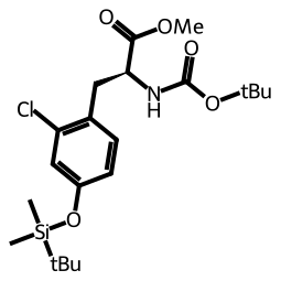 COC(=O)[C@H](Cc1ccc(O[Si](C)(C)C(C)(C)C)cc1Cl)NC(=O)OC(C)(C)C